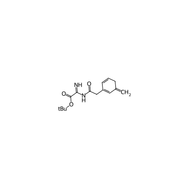 C=C1C=C(CC(=O)NC(=N)C(=O)OC(C)(C)C)C=CC1